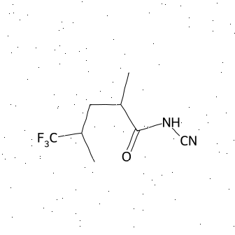 CC(CC(C)C(F)(F)F)C(=O)NC#N